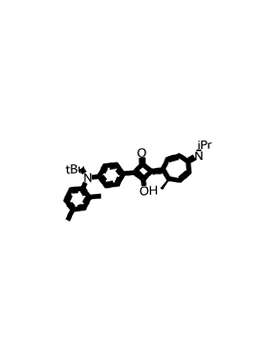 Cc1ccc(N(c2ccc(C3=C(O)/C(=C4C=C/C(=N\C(C)C)C=C[C@H]/4C)C3=O)cc2)C(C)(C)C)c(C)c1